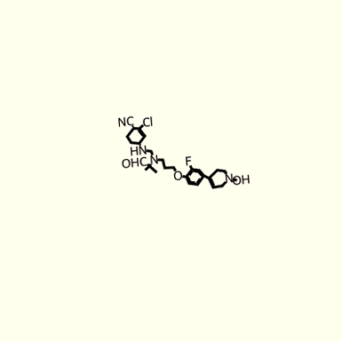 CC(C)(C=O)N(CCCOc1ccc(C2=CCN(O)CC2)cc1F)CN[C@@H]1C=C(Cl)[C@H](C#N)CC1